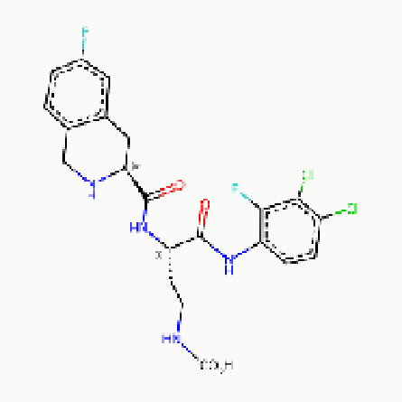 O=C(O)NCC[C@H](NC(=O)[C@@H]1Cc2cc(F)ccc2CN1)C(=O)Nc1ccc(Cl)c(Cl)c1F